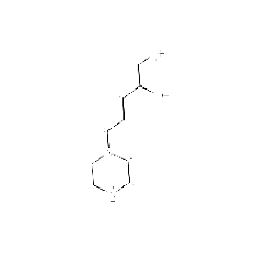 OCC(O)CCCN1CCNCC1